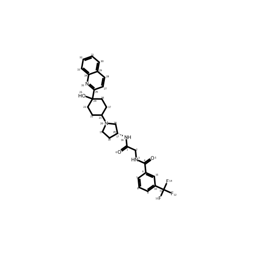 O=C(CNC(=O)c1cccc(C(F)(F)F)c1)N[C@@H]1CCN(C2CCC(O)(c3ccc4ccccc4n3)CC2)C1